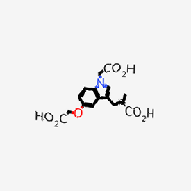 C[C@@H](Cc1cn(CC(=O)O)c2ccc(OCC(=O)O)cc12)C(=O)O